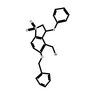 O=S1(=O)CC(Sc2ccccc2)c2c1ccc(OCc1ccccc1)c2CBr